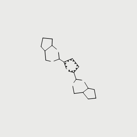 c1cc(C2OCC3CCCC3O2)sc1C1OCC2CCCC2O1